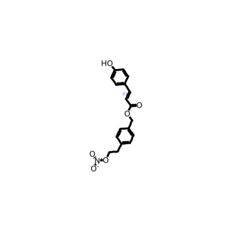 O=C(/C=C/c1ccc(O)cc1)OCc1ccc(CCO[N+](=O)[O-])cc1